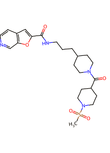 CS(=O)(=O)N1CCC(C(=O)N2CCC(CCCNC(=O)c3cc4ccncc4o3)CC2)CC1